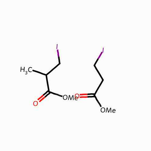 COC(=O)C(C)CI.COC(=O)CCI